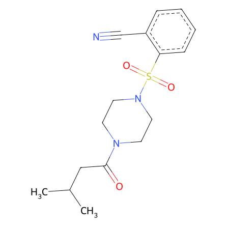 CC(C)CC(=O)N1CCN(S(=O)(=O)c2ccccc2C#N)CC1